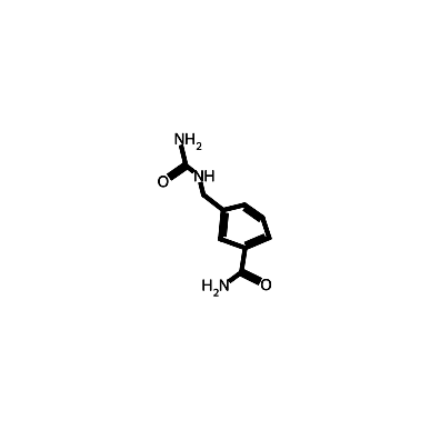 NC(=O)NCc1cccc(C(N)=O)c1